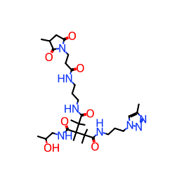 Cc1cn(CCCNC(=O)C(C)(C)C(C)(C(=O)NCC(C)O)C(C)(C)C(=O)NCCCNC(=O)CCN2C(=O)CC(C)C2=O)nn1